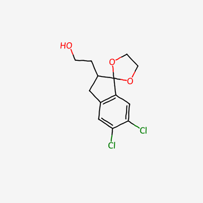 OCCC1Cc2cc(Cl)c(Cl)cc2C12OCCO2